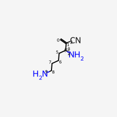 C=C(C#N)[C@@H](N)CCCCN